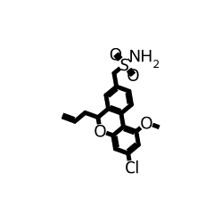 C=CCC1Oc2cc(Cl)cc(OC)c2-c2ccc(CS(N)(=O)=O)cc21